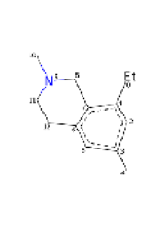 CCc1cc(C)cc2c1CN(C)CC2